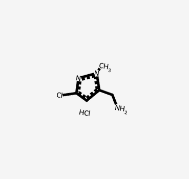 Cl.Cn1nc(Cl)cc1CN